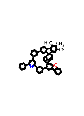 Cc1c(C#N)cc2c(c1C)-c1ccc(-c3cccc(-c4cc(-c5ccccc5)nc(-c5cccc(-c6ccc7oc8ccccc8c7c6)c5)c4)c3)cc1C21C2CC3CC(C2)CC1C3